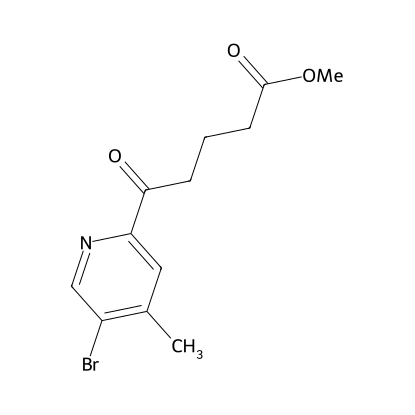 COC(=O)CCCC(=O)c1cc(C)c(Br)cn1